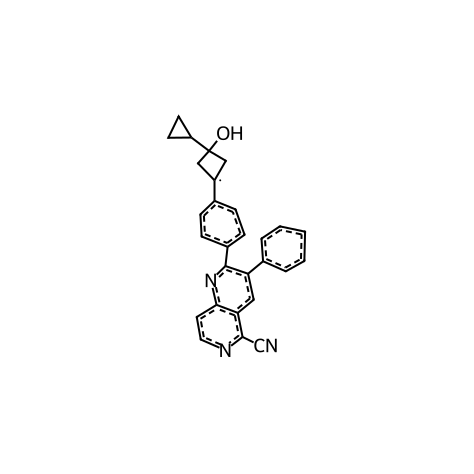 N#Cc1nccc2nc(-c3ccc([C]4CC(O)(C5CC5)C4)cc3)c(-c3ccccc3)cc12